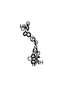 O=C1CCN(c2cccc3cc(N4CCC(OCCN5CCN(c6cccc(C7(C8CC8)CNc8nccc(Cl)c87)n6)C(=O)C5)CC4)ccc23)C(=O)N1